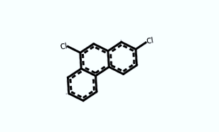 Clc1[c]c2cc(Cl)c3c[c]ccc3c2cc1